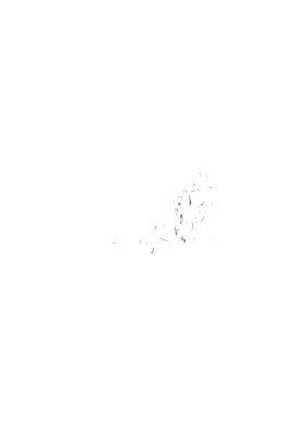 CCOC(=O)c1ccc(N2C(C)OC3=CCN(C)C=C3S2(=O)=O)c(F)c1